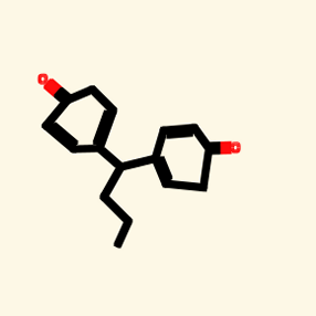 CCCC(C1=CCC(=O)C=C1)C1=CCC(=O)C=C1